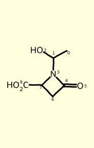 CC(O)N1C(=O)CC1C(=O)O